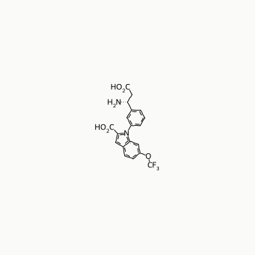 N[C@H](CC(=O)O)c1cccc(-n2c(C(=O)O)cc3ccc(OC(F)(F)F)cc32)c1